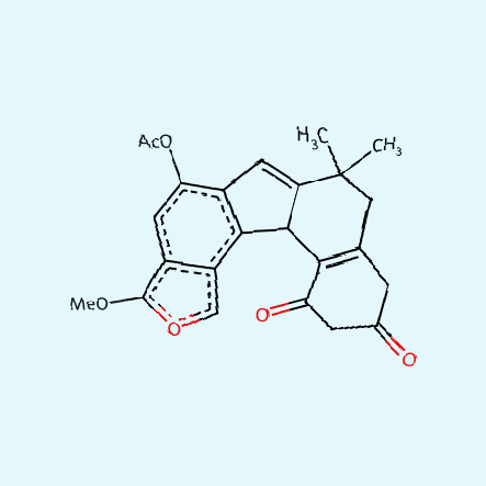 COc1occ2c3c(c(OC(C)=O)cc12)C=C1C3C2=C(CC(=O)CC2=O)CC1(C)C